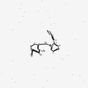 Cc1ccc(C[n+]2ccccc2C#N)cc1